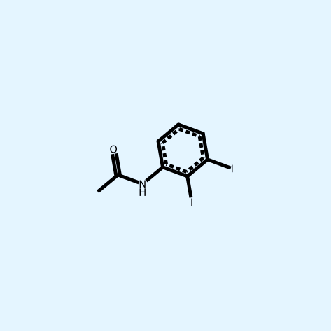 CC(=O)Nc1cccc(I)c1I